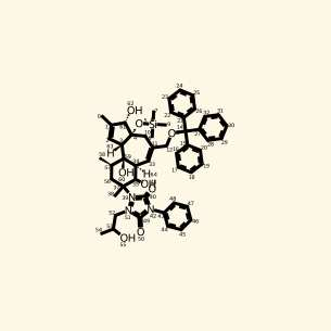 CC1=C[C@@H]2[C@](O[Si](C)(C)C)(CC(COC(c3ccccc3)(c3ccccc3)c3ccccc3)=C[C@H]3C(O)C(C)(n4c(=O)n(-c5ccccc5)c(=O)n4CC(C)O)C[C@@H](C)[C@]23O)[C@H]1O